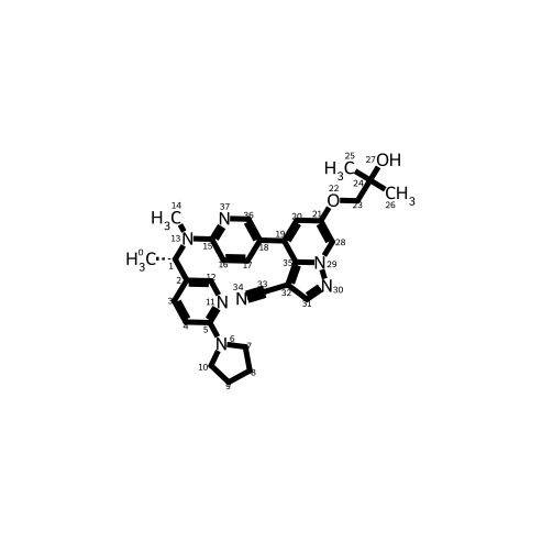 C[C@@H](c1ccc(N2CCCC2)nc1)N(C)c1ccc(-c2cc(OCC(C)(C)O)cn3ncc(C#N)c23)cn1